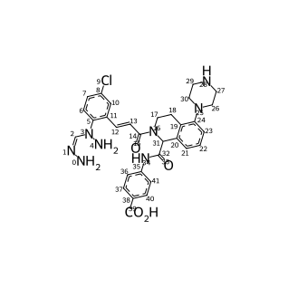 N/N=C\N(N)c1ccc(Cl)cc1/C=C/C(=O)N1CCc2c(cccc2N2CCNCC2)C1C(=O)Nc1ccc(C(=O)O)cc1